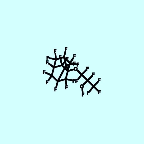 FOC(F)(C(F)(F)F)C(F)(F)OC12C(F)(F)C3(F)C(F)(F)C(F)(C(F)(F)C(F)(C3(F)F)C1(F)F)C2(F)F